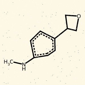 CNc1ccc(C2COC2)cc1